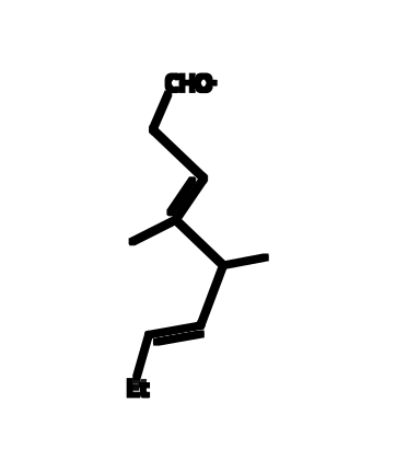 CC/C=C/C(C)/C(C)=C/C[C]=O